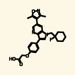 Cc1noc(C)c1-c1cnc2c(-c3ccc(OCC(=O)O)cc3)cn(CC3(F)CCCCC3)c2c1